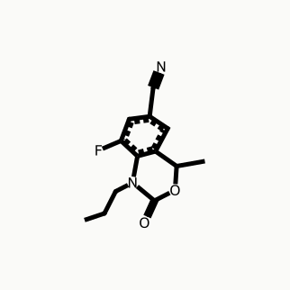 CCCN1C(=O)OC(C)c2cc(C#N)cc(F)c21